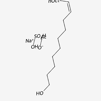 CC(=O)[O-].CCCCCCCC/C=C\CCCCCCCCO.O=S(=O)(O)O.[Na+]